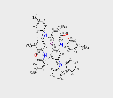 CC(C)(C)c1ccc(-n2c3cc(C(C)(C)C)c4oc5cc(C(C)(C)C)ccc5n5c6cc(-n7c8ccccc8c8ccccc87)cc7c6p(c3c45)c3c2cc(C(C)(C)C)c2oc4cc(C(C)(C)C)ccc4n7c23)cc1